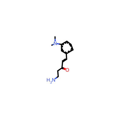 CN(C)c1cccc(/C=C/C(=O)CCN)c1